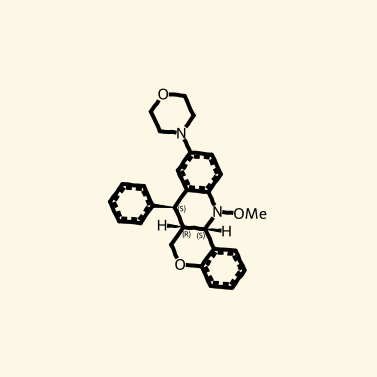 CON1c2ccc(N3CCOCC3)cc2[C@H](c2ccccc2)[C@H]2COc3ccccc3[C@H]21